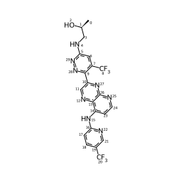 C[C@H](O)CNc1cc(C(F)(F)F)c(-c2cnc3c(Nc4ccc(C(F)(F)F)cn4)ccnc3n2)nn1